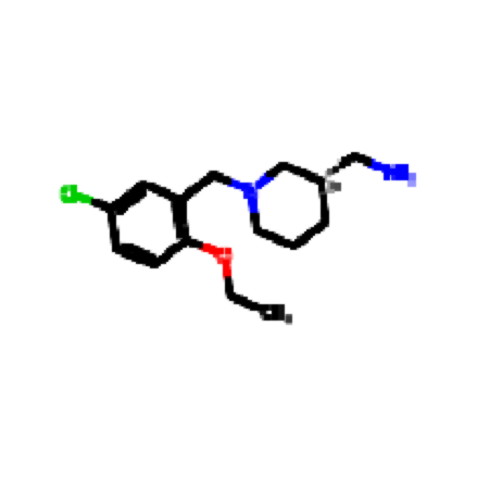 CCOc1ccc(Cl)cc1CN1CCC[C@@H](CN)C1